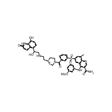 COc1cccc(Nc2c(C(N)=O)cnc3c(C)cc(S(=O)(=O)c4cccc(C(=O)N5CCN(CCNCC(O)c6ccc(O)c7[nH]c(=O)ccc67)CC5)c4)cc23)c1